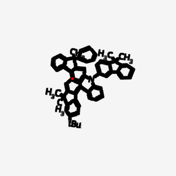 CC(C)(C)c1ccc2c(c1)C(C)(C)c1cccc(-c3ccccc3N(c3ccc4c(c3)-c3ccccc3C4(C)C)c3ccc4c(c3)C(C)(c3ccccc3)c3ccccc3-4)c1-2